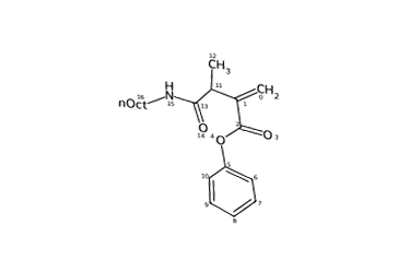 C=C(C(=O)Oc1ccccc1)C(C)C(=O)NCCCCCCCC